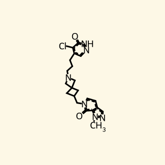 Cn1ncc2ccn(CC3CC4(C3)CN(CCCc3cn[nH]c(=O)c3Cl)C4)c(=O)c21